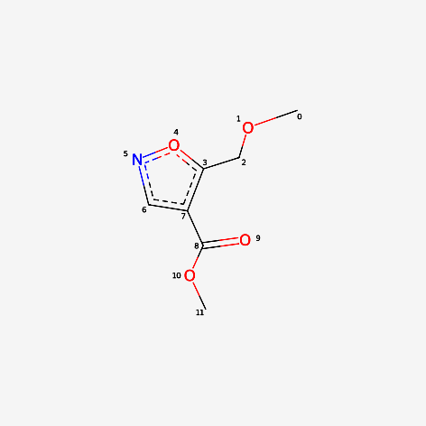 COCc1oncc1C(=O)OC